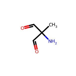 CC(N)(C=O)C=O